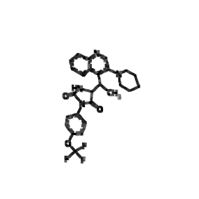 CC(c1c(N2CCCCC2)cnc2ccccc12)C1NC(=O)N(c2ccc(OC(F)(F)F)cc2)C1=O